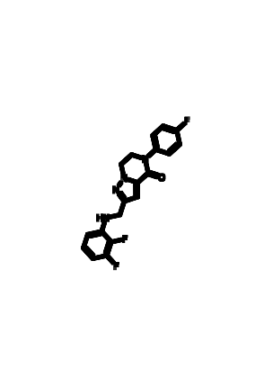 O=C1c2cc(CNc3cccc(F)c3F)nn2CCN1c1ccc(F)cc1